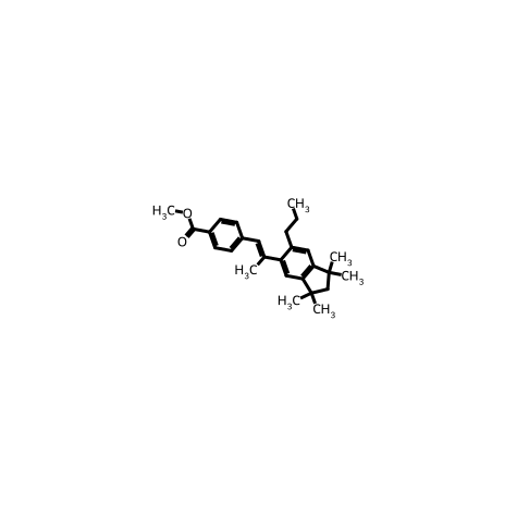 CCCc1cc2c(cc1C(C)=Cc1ccc(C(=O)OC)cc1)C(C)(C)CC2(C)C